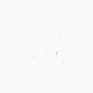 O=C(c1ccccc1)c1ccc(Oc2ccccc2)cc1Cl